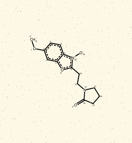 COc1ccc2c(c1)oc(CCN1CCCC1=O)[n+]2[O-]